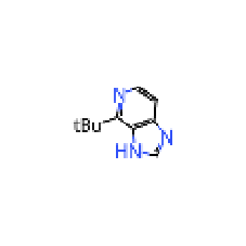 CC(C)(C)c1nccc2nc[nH]c12